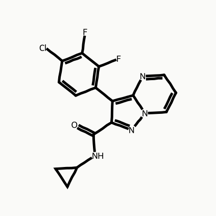 O=C(NC1CC1)c1nn2cccnc2c1-c1ccc(Cl)c(F)c1F